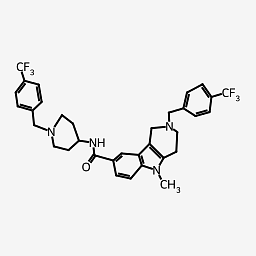 Cn1c2c(c3cc(C(=O)NC4CCN(Cc5ccc(C(F)(F)F)cc5)CC4)ccc31)CN(Cc1ccc(C(F)(F)F)cc1)CC2